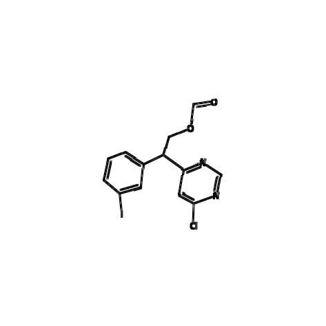 O=COCC(c1cccc(I)c1)c1cc(Cl)ncn1